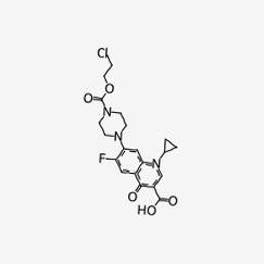 O=C(O)c1cn(C2CC2)c2cc(N3CCN(C(=O)OCCCl)CC3)c(F)cc2c1=O